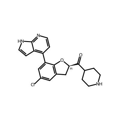 O=C(C1CCNCC1)[C@H]1Cc2cc(Cl)cc(-c3ccnc4[nH]ccc34)c2O1